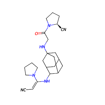 N#CC=C(NC1C2CC3CC1CC(NCC(=O)N1CCC[C@H]1C#N)(C3)C2)N1CCCC1